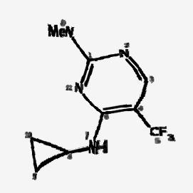 CNc1ncc(C(F)(F)F)c(NC2CC2)n1